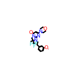 COc1cccc(CCN2c3nc(N4CCOCC4)cc(=O)n3CC2(C)C(F)(F)F)c1